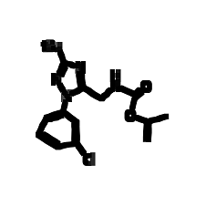 C=C(C)OC(=O)NCc1nc(C(C)(C)C)nn1-c1cccc(Cl)c1